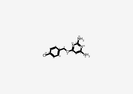 Nc1cc(OCc2ccc(Cl)cc2)nc(N)n1